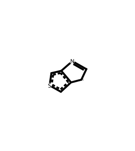 [C]1C=Nc2cscc21